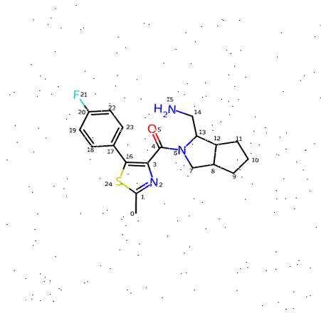 Cc1nc(C(=O)N2CC3CCCC3C2CN)c(-c2ccc(F)cc2)s1